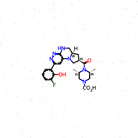 C[C@@H]1CN(C(=O)O)C[C@H](C)N1C(=O)[C@@H]1C[C@@H]2CNc3nnc(-c4cccc(F)c4O)cc3N2C1